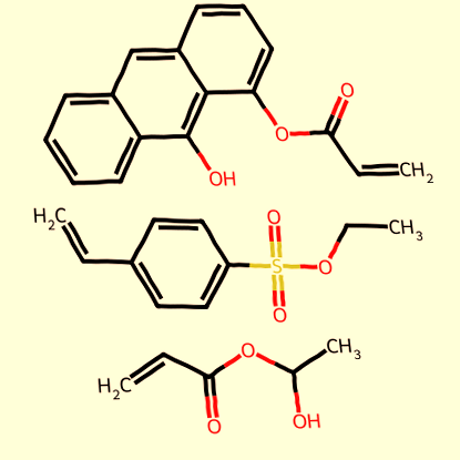 C=CC(=O)OC(C)O.C=CC(=O)Oc1cccc2cc3ccccc3c(O)c12.C=Cc1ccc(S(=O)(=O)OCC)cc1